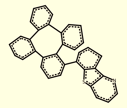 c1ccc2c(c1)-c1ccccc1-c1cccc(-c3cccc4c3sc3cccnc34)c1-c1ccccc1-2